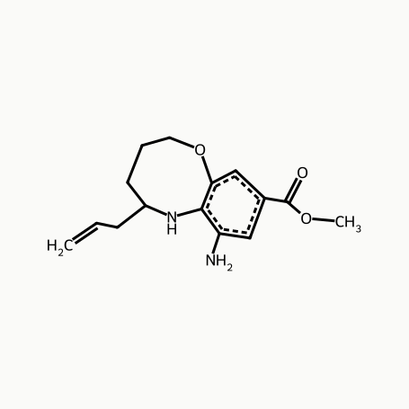 C=CCC1CCCOc2cc(C(=O)OC)cc(N)c2N1